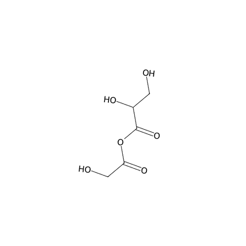 O=C(CO)OC(=O)C(O)CO